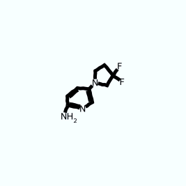 Nc1ccc(N2CCC(F)(F)C2)cn1